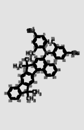 Cc1cc(C(C)(C)C)ccc1N(c1ccc(C(C)(C)C)cc1C)c1cc2c(c3ccccc13)-c1cc3c(cc1C2(C)C)-c1ccccc1C3(C)C